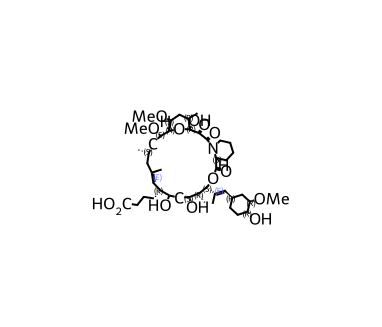 CO[C@H]1C[C@@H](C)C/C(C)=C/[C@@H](CCCC(=O)O)C(O)C[C@H](O)[C@@H](C)[C@@H](/C(C)=C/[C@@H]2CC[C@@H](O)[C@H](OC)C2)OC(=O)[C@@H]2CCCCN2C(=O)C(=O)[C@]2(O)O[C@H]1[C@@H](OC)C[C@H]2C